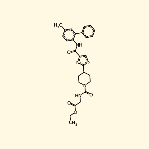 CCOC(=O)CNC(=O)N1CCC(c2nc(C(=O)Nc3ccc(C)cc3-c3ccccc3)cs2)CC1